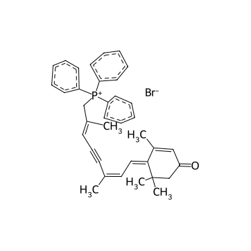 CC(C#CC=C(C)C[P+](c1ccccc1)(c1ccccc1)c1ccccc1)=CC=C1C(C)=CC(=O)CC1(C)C.[Br-]